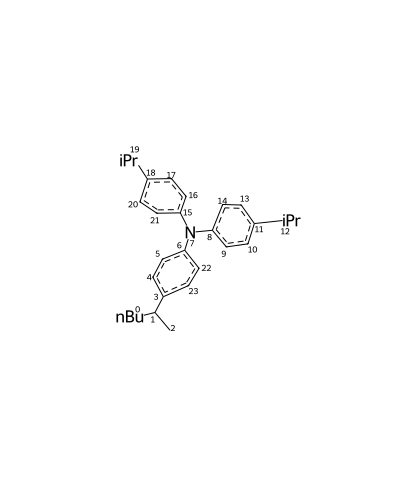 CCCCC(C)c1ccc(N(c2ccc(C(C)C)cc2)c2ccc(C(C)C)cc2)cc1